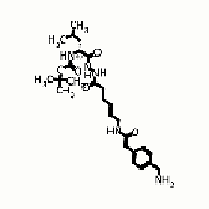 CC(C)C[C@@H](NC(=O)OC(C)(C)C)C(=O)NNC(=O)CCCCCNC(=O)Cc1ccc(CN)cc1